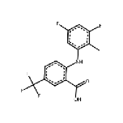 Cc1c(F)cc(F)cc1Nc1ccc(C(F)(F)F)cc1C(=O)O